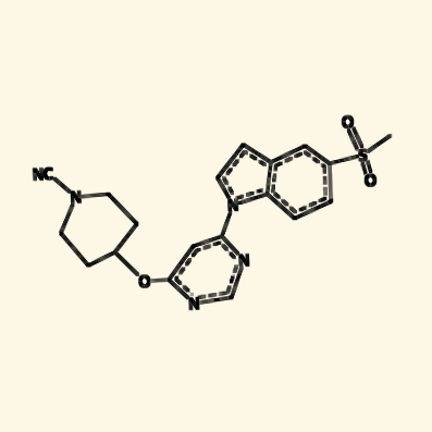 CS(=O)(=O)c1ccc2c(ccn2-c2cc(OC3CCN(C#N)CC3)ncn2)c1